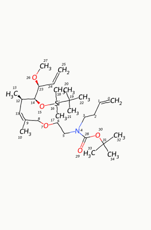 C=CCCN(CCOC/C(C)=C\[C@@H](C)[C@H](O[Si](C)(C)C(C)(C)C)[C@H](C=C)OC)C(=O)OC(C)(C)C